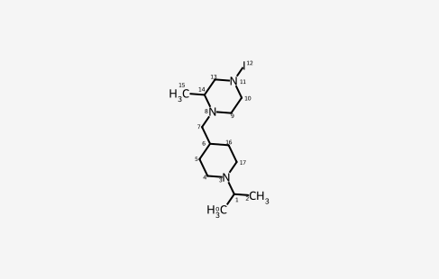 CC(C)N1CCC(CN2CCN(I)CC2C)CC1